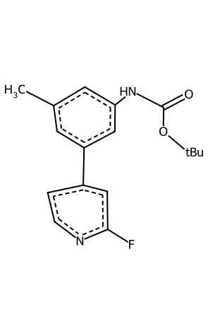 Cc1cc(NC(=O)OC(C)(C)C)cc(-c2ccnc(F)c2)c1